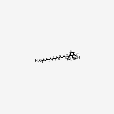 CCCCCCCCCCCCCCCCOC(=O)c1cccc(C(=O)O)c1C(=O)O